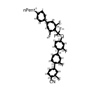 CCCCCc1ccc(-c2cc(F)c(C(F)(F)Oc3ccc(-c4ccc(-c5ccc(C#N)c(F)c5)c(F)c4)c(F)c3)c(F)c2)cc1